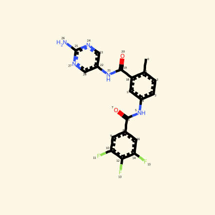 Cc1ccc(NC(=O)c2cc(F)c(F)c(F)c2)cc1C(=O)Nc1cnc(N)nc1